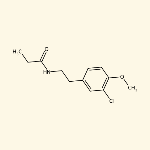 CCC(=O)NCCc1ccc(OC)c(Cl)c1